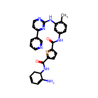 Cc1ccc(NC(=O)c2ccc(C(=O)NC3CC=CC=C3N)s2)cc1Nc1nccc(-c2cccnc2)n1